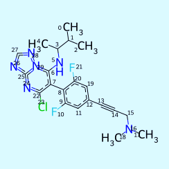 CC(C)C(C)Nc1c(-c2c(F)cc(C#CCN(C)C)cc2F)c(Cl)nc2ncnn12